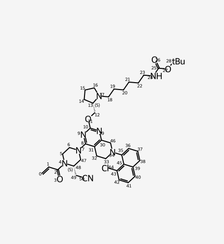 C=CC(=O)N1CCN(c2nc(OC[C@@H]3CCCN3CCCCCCNC(=O)OC(C)(C)C)nc3c2CCN(c2cccc4cccc(Cl)c24)C3)C[C@@H]1CC#N